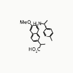 COc1ccc2cc(C(C)C(=O)O)ccc2c1.Cc1ccc(C(C)N)cc1